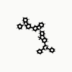 CC1(C)c2cc(-c3cc(-c4ccccc4)nc(-c4ccccc4)n3)ccc2-c2ccc(-n3c4ccccc4c4cc(-c5ccc6c(c5)c5ccccc5n6-c5ccccc5)ccc43)cc21